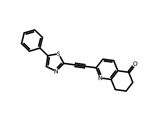 O=C1CCCc2nc(C#Cc3ncc(-c4ccccc4)s3)ccc21